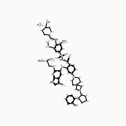 CO[C@H](C)COc1nc2[nH]cc(F)c2cc1Oc1cc(N2CCC3(CC2)CN(C2CCC[C@H]2c2ccccc2C(C)C)C3)ccc1C(=O)NS(=O)(=O)c1cc2c(c([N+](=O)[O-])c1)N[C@@H]([C@H]1CC[C@](C)(O)CC1)CO2